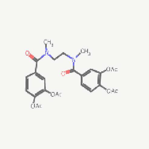 CC(=O)Oc1ccc(C(=O)N(C)CCN(C)C(=O)c2ccc(OC(C)=O)c(OC(C)=O)c2)cc1OC(C)=O